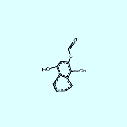 O=COc1cc(O)c2ccccc2c1O